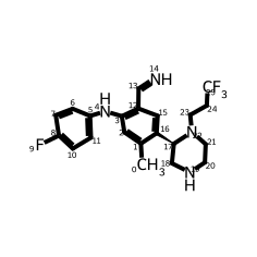 Cc1cc(Nc2ccc(F)cc2)c(C=N)cc1[C@@H]1CNCCN1CCC(F)(F)F